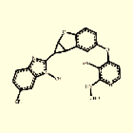 CCCc1c(Oc2ccc3c(c2)C2C(O3)C2c2nc3ccc(C(F)(F)F)cc3n2C)ccnc1NC=O